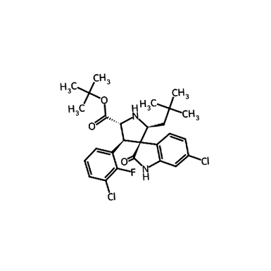 CC(C)(C)C[C@@H]1N[C@@H](C(=O)OC(C)(C)C)[C@H](c2cccc(Cl)c2F)[C@]12C(=O)Nc1cc(Cl)ccc12